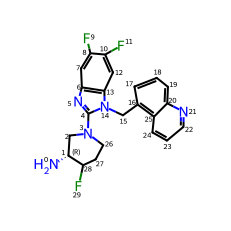 N[C@@H]1CN(c2nc3cc(F)c(F)cc3n2Cc2cccc3ncccc23)CCC1F